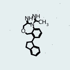 CC(=N)N1C(=N)COCc2c(C3CCc4ccccc43)cccc21